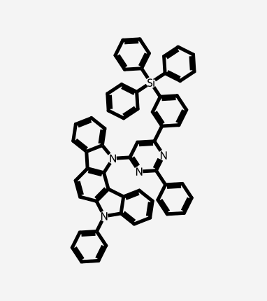 c1ccc(-c2nc(-c3cccc([Si](c4ccccc4)(c4ccccc4)c4ccccc4)c3)cc(-n3c4ccccc4c4ccc5c(c6ccccc6n5-c5ccccc5)c43)n2)cc1